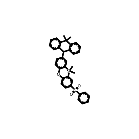 CC1(C)c2ccccc2C(c2ccc3c(c2)[Si](C)(C)c2cc(S(=O)(=O)c4ccccc4)ccc2O3)c2ccccc21